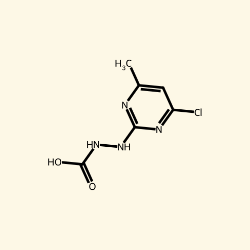 Cc1cc(Cl)nc(NNC(=O)O)n1